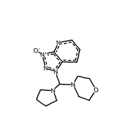 [O-][n+]1nn(C(N2CCCC2)N2CCOCC2)c2cccnc21